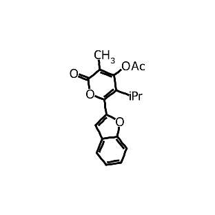 CC(=O)Oc1c(C(C)C)c(-c2cc3ccccc3o2)oc(=O)c1C